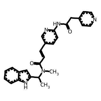 CC(c1cc2ccccc2[nH]1)N(C)C(=O)/C=C/c1ccc(NC(=O)Cc2ccncc2)nc1